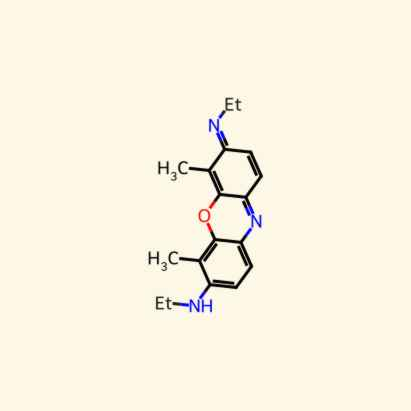 CCN=c1ccc2nc3ccc(NCC)c(C)c3oc-2c1C